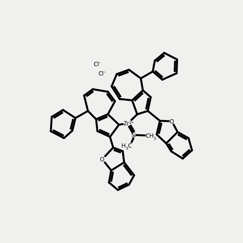 C[Si](C)=[Zr+2]([CH]1C(c2cc3ccccc3o2)=CC2=C1C=CC=CC2c1ccccc1)[CH]1C(c2cc3ccccc3o2)=CC2=C1C=CC=CC2c1ccccc1.[Cl-].[Cl-]